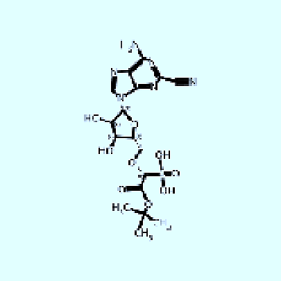 CC(C)(C)OC(=O)[C@H](OC[C@H]1O[C@@H](n2cnc3c(N)nc(C#N)nc32)[C@H](O)[C@@H]1O)P(=O)(O)O